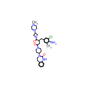 CN1CCN(C2CN(C(=O)C(CC(=O)N3CCC(N4CCc5ccccc5NC4=O)CC3)Cc3cc(Cl)c(N)c(C(F)(F)F)c3)C2)CC1